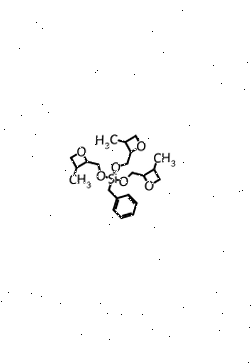 CC1COC1CO[Si](Cc1ccccc1)(OCC1OCC1C)OCC1OCC1C